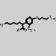 CCCCCCC(C(=O)O)c1ccc(OCCCOC)cc1OC